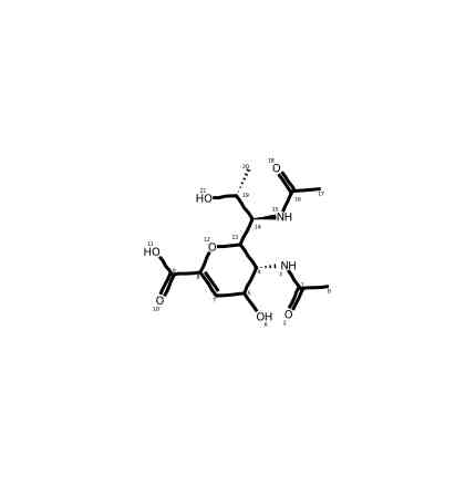 CC(=O)N[C@@H]1C(O)C=C(C(=O)O)OC1[C@H](NC(C)=O)[C@@H](C)O